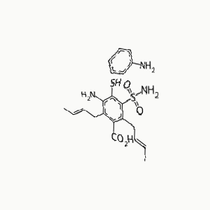 CC=CCc1c(N)c(S)c(S(N)(=O)=O)c(CC=CC)c1C(=O)O.Nc1ccccc1